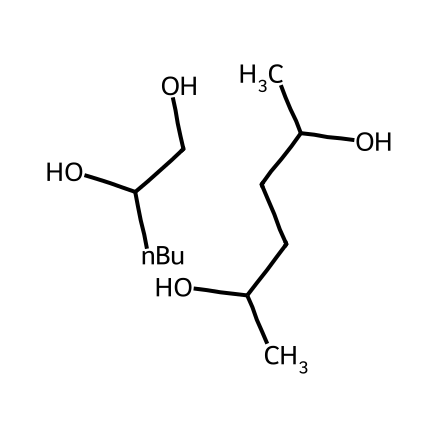 CC(O)CCC(C)O.CCCCC(O)CO